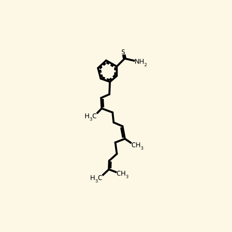 CC(C)=CCCC(C)=CCCC(C)=CCc1cccc(C(N)=S)c1